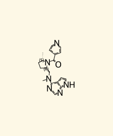 C[C@H]1CC[C@H](CN(C)c2ncnc3[nH]ccc23)N1C(=O)c1ccncc1